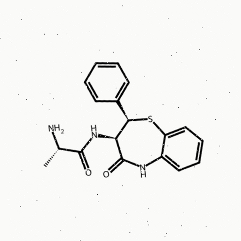 C[C@H](N)C(=O)N[C@@H]1C(=O)Nc2ccccc2S[C@@H]1c1ccccc1